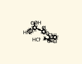 Cl.O=C(O)c1cc(C#Cc2ccc(OCCc3c(-c4c(Cl)cccc4Cl)noc3C3CC3)cc2Cl)cc(N2CCNCC2)c1